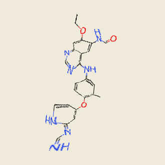 CCOc1cc2ncnc(Nc3ccc(Oc4cc[nH]/c(=N\C=N)c4)c(C)c3)c2cc1NC=O